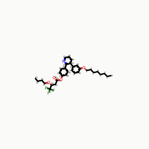 CCCCCCCCOc1cccc(-c2cccnc2-c2ccc(OC(=O)CC(OCCCC)C(F)(F)F)cc2)c1